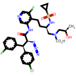 C[C@@H](O)CN(C[C@@H](CCc1c(F)cncc1NC(=O)[C@@H](N=[N+]=[N-])[C@@H](c1ccc(Cl)cc1)c1cccc(F)c1)NS(=O)(=O)C1CC1)C(=O)O